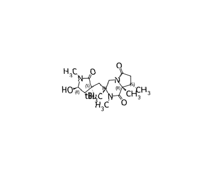 C[C@H]1CC(=O)N2C[C@@](C)(C[C@@]3(C(C)(C)C)C[C@@H](O)N(C)C3=O)N(C)C(=O)[C@@]12C